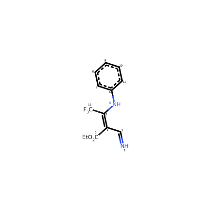 CCOC(=O)/C(C=N)=C(/Nc1ccccc1)C(F)(F)F